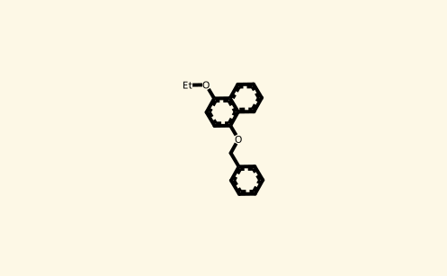 CCOc1ccc(OCc2ccccc2)c2ccccc12